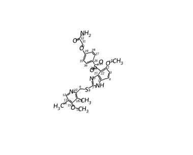 COc1ccc2[nH]c(SCc3ncc(C)c(OC)c3C)nc2c1S(=O)(=O)c1ccc(OCC(N)=O)cc1